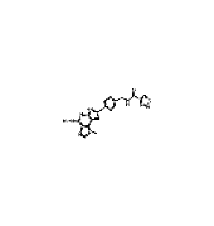 CNc1nc2[nH]c(-c3ccc(CNC(=O)c4csnn4)cc3)cc2c2c1ncn2C